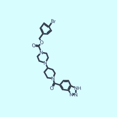 O=C(OCc1ccc(Br)cc1)N1CCN(C2CCN(C(=O)c3ccc4[nH]nnc4c3)CC2)CC1